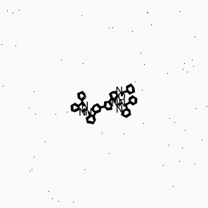 c1ccc(-c2nc3ccc4c5cc(-c6ccc7c(c6)c6ccccc6n7-c6nc(-c7ccccc7)c7ccccc7n6)ccc5n(-c5nc(-c6ccccc6)c6ccccc6n5)c4c3o2)cc1